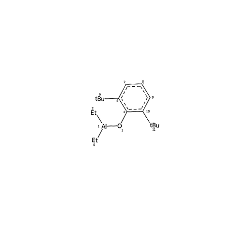 C[CH2][Al]([CH2]C)[O]c1c(C(C)(C)C)c[c]cc1C(C)(C)C